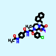 CC(=O)Nc1ccc(C(=O)NCC(=O)N2[C@H](C)CCN([C@H](Cc3cccc4ccccc34)C(=O)NI)C(=O)[C@@H]2c2cccc(Cl)c2)cc1